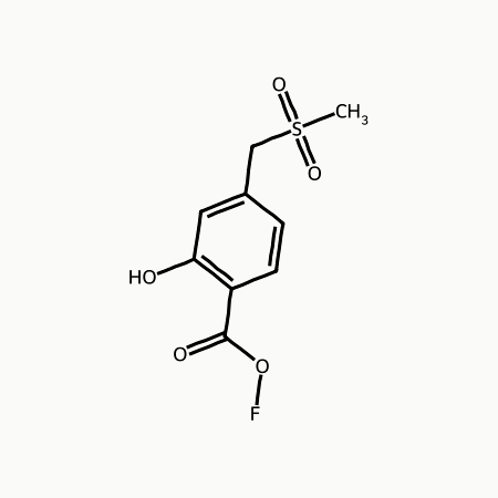 CS(=O)(=O)Cc1ccc(C(=O)OF)c(O)c1